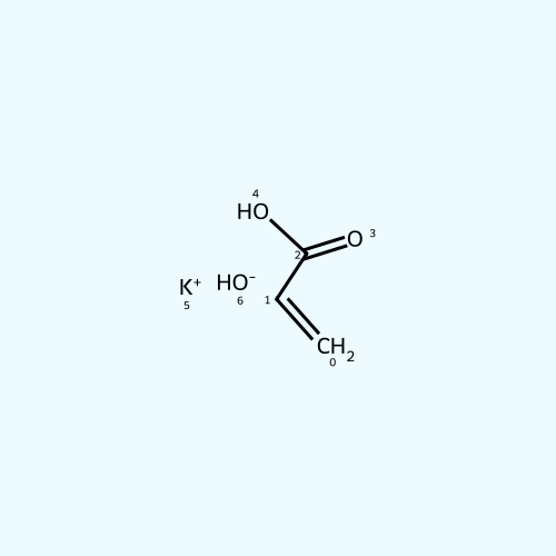 C=CC(=O)O.[K+].[OH-]